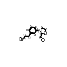 O=CC1OCCN1c1cccc(CCBr)c1